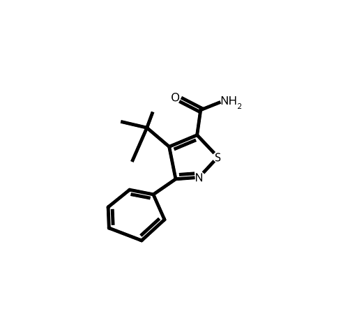 CC(C)(C)c1c(-c2ccccc2)nsc1C(N)=O